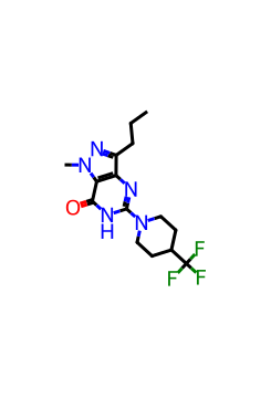 CCCc1nn(C)c2c(=O)[nH]c(N3CCC(C(F)(F)F)CC3)nc12